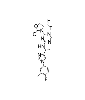 Cc1cc(-n2cnc([C@H](C)Nc3ncnc(N4C(=O)OC[C@@H]4C(F)F)n3)c2)ccc1F